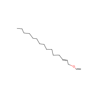 C=COCC=CCCCCCCCCCCCC